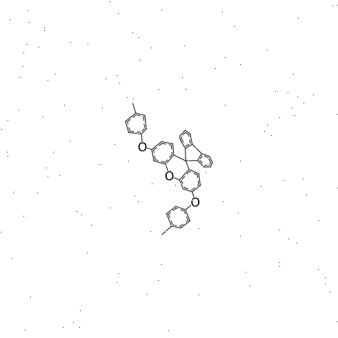 Cc1ccc(Oc2ccc3c(c2)Oc2cc(Oc4ccc(C)cc4)ccc2C32c3ccccc3-c3ccccc32)cc1